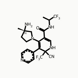 CC(NC(=O)C1=CNC(C#N)(C(F)(F)F)C(c2ccncc2)=C1N1CC[C@](C)(N)C1)C(F)(F)F